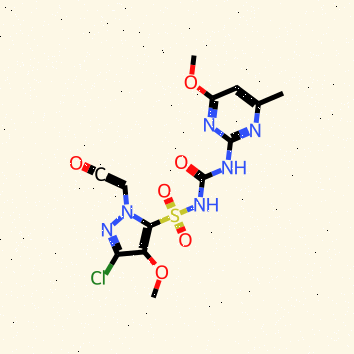 COc1cc(C)nc(NC(=O)NS(=O)(=O)c2c(OC)c(Cl)nn2C=C=O)n1